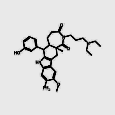 CCN(CC)CCCN1C(=O)CCC2C(c3cccc(O)c3)c3[nH]c4cc(P)c(OC)cc4c3C[C@@]2(C)C1=O